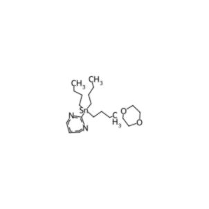 C1COCCO1.CCC[CH2][Sn]([CH2]CCC)([CH2]CCC)[c]1ncccn1